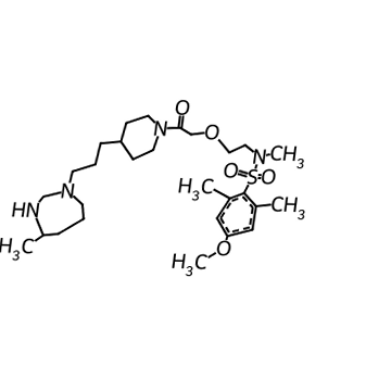 COc1cc(C)c(S(=O)(=O)N(C)CCOCC(=O)N2CCC(CCCN3CCCC(C)NC3)CC2)c(C)c1